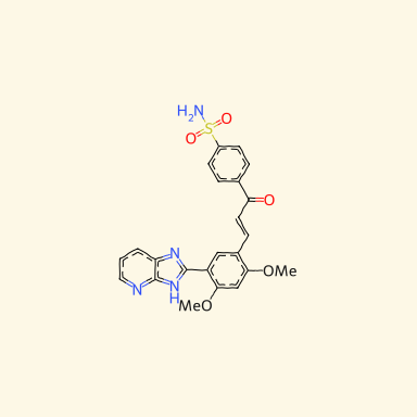 COc1cc(OC)c(-c2nc3cccnc3[nH]2)cc1C=CC(=O)c1ccc(S(N)(=O)=O)cc1